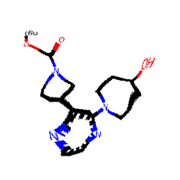 CC(C)(C)OC(=O)N1CC(c2nccnc2N2CCC(O)CC2)C1